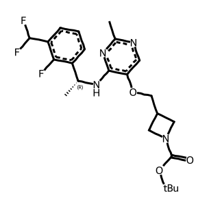 Cc1ncc(OCC2CN(C(=O)OC(C)(C)C)C2)c(N[C@H](C)c2cccc(C(F)F)c2F)n1